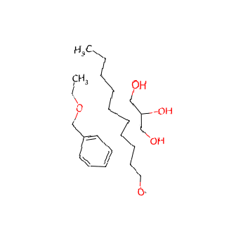 CCCCCCCCCC[O].CCOCc1ccccc1.OCC(O)CO